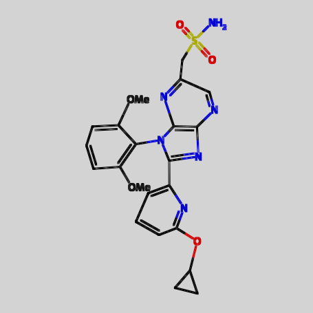 COc1cccc(OC)c1-n1c(-c2cccc(OC3CC3)n2)nc2ncc(CS(N)(=O)=O)nc21